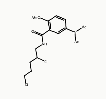 COc1ccc(N(C(C)=O)C(C)=O)cc1C(=O)NCC(Cl)CCCCl